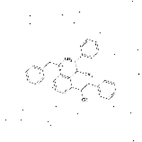 CC(Cc1ccccc1)c1[c]ccc(C(C)Cc2ccccc2)c1C(C)Cc1ccccc1